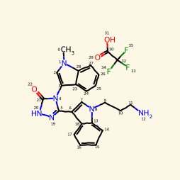 Cn1cc(-n2c(-c3cn(CCCN)c4ccccc34)n[nH]c2=O)c2ccccc21.O=C(O)C(F)(F)F